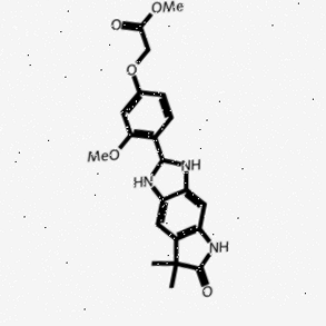 COC(=O)COc1ccc(C2Nc3cc4c(cc3N2)C(C)(C)C(=O)N4)c(OC)c1